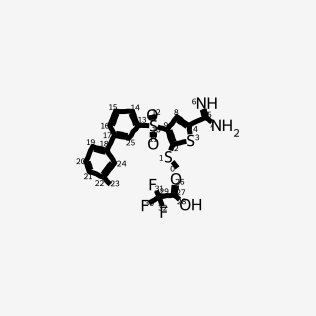 CSc1sc(C(=N)N)cc1S(=O)(=O)c1cccc(-c2cccc(C)c2)c1.O=C(O)C(F)(F)F